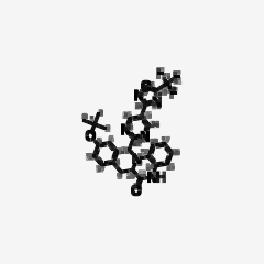 CC(C)(C)Oc1ccc(CC2C(=O)Nc3ccccc3N2Cc2ncc(-c3noc(C(F)(F)F)n3)cn2)cc1